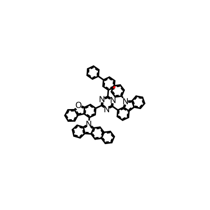 c1ccc(-c2cccc(-c3nc(-c4cc(-n5c6ccccc6c6cc7ccccc7cc65)c5c(c4)oc4ccccc45)nc(-c4cccc5c6ccccc6n(-c6ccccc6)c45)n3)c2)cc1